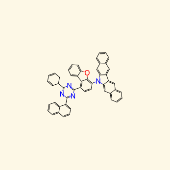 C1=CCC(c2nc(-c3cccc4ccccc34)nc(-c3ccc(-n4c5cc6ccccc6cc5c5cc6ccccc6cc54)c4oc5ccccc5c34)n2)C=C1